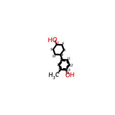 Cc1cc(C2CCC(O)CC2)ccc1O